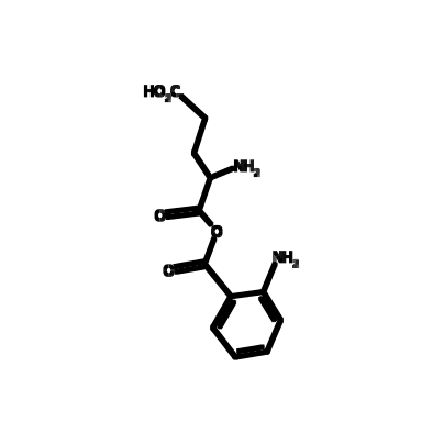 Nc1ccccc1C(=O)OC(=O)C(N)CCC(=O)O